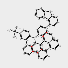 CC(C)(C)c1ccc(N(c2ccc(-c3cccc4sc5ccccc5c34)cc2)c2ccccc2-c2cccc3cccc(-c4ccccc4)c23)c(-c2ccccc2)c1